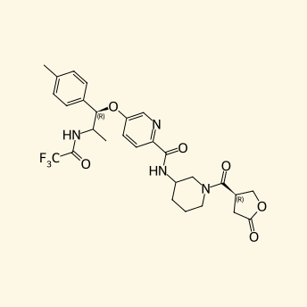 Cc1ccc([C@@H](Oc2ccc(C(=O)NC3CCCN(C(=O)[C@H]4COC(=O)C4)C3)nc2)C(C)NC(=O)C(F)(F)F)cc1